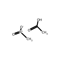 CC(=O)O.C[N+](=O)[O-]